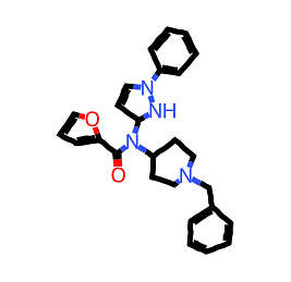 O=C(c1ccco1)N(C1CCN(Cc2ccccc2)CC1)C1C=CN(c2ccccc2)N1